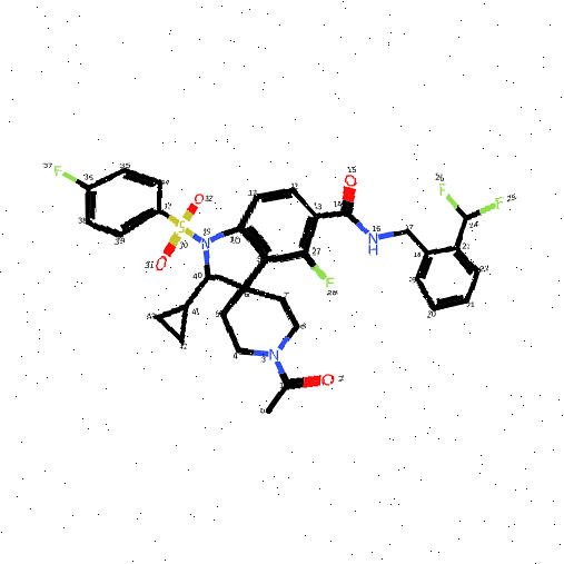 CC(=O)N1CCC2(CC1)c1c(ccc(C(=O)NCc3ccccc3C(F)F)c1F)N(S(=O)(=O)c1ccc(F)cc1)C2C1CC1